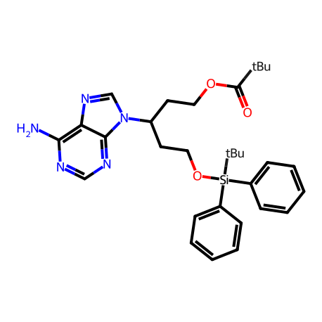 CC(C)(C)C(=O)OCCC(CCO[Si](c1ccccc1)(c1ccccc1)C(C)(C)C)n1cnc2c(N)ncnc21